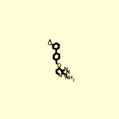 COc1cccc(-c2ccc(COc3ccnc4c3nnn4N)cc2)c1